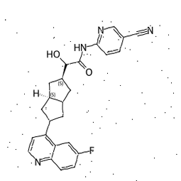 N#Cc1ccc(NC(=O)C(O)[C@H]2CC3CC(c4ccnc5ccc(F)cc45)C[C@H]3C2)nc1